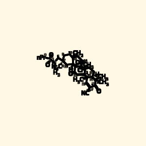 CCCS(=O)(=O)N(C)C[C@@]1(C)CC[C@]2(C)CC[C@@]3(C)[C@]4(C)CC[C@H]5C(C)(C)C(=O)C(C#N)=C[C@]5(C)C4=CC(=O)[C@]3(O)[C@@H]2C1